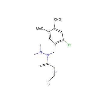 C=C/C=C\C(=C)N(Cc1cc(OC)c(C=O)cc1Cl)N(C)C